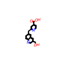 O=C(O)c1ccnc(Cc2ccc3ncc(CO)cc3c2)c1